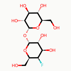 OC[C@H]1O[C@H](O[C@H]2O[C@H](CO)[C@H](F)[C@H](O)[C@H]2O)[C@H](O)[C@@H](O)[C@@H]1O